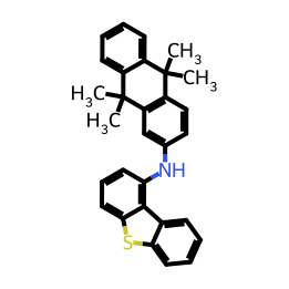 CC1(C)c2ccccc2C(C)(C)c2cc(Nc3cccc4sc5ccccc5c34)ccc21